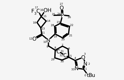 CC(C)(C)c1noc(C23CCC(CN(C(=O)C4CC(O)(C(F)(F)F)C4)c4cccc(P(C)(C)=O)c4)(CC2)CC3)n1